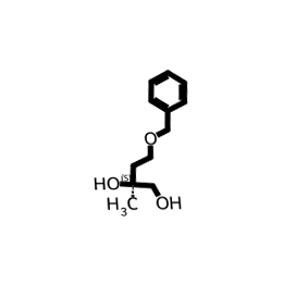 C[C@@](O)(CO)CCOCc1ccccc1